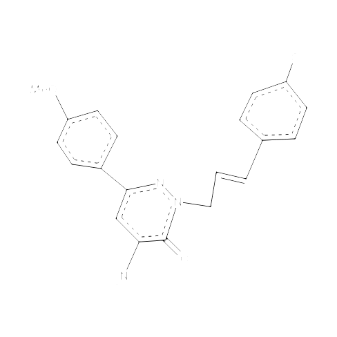 COc1ccc(-c2cc(N)c(=O)n(C/C=C/c3ccc(Cl)cc3)n2)cc1